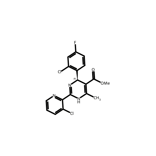 COC(=O)C1=C(C)NC(c2ncccc2Cl)=N[C@H]1c1ccc(F)cc1Cl